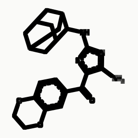 Nc1nc(NC2C3CC4CC(C3)CC2C4)sc1C(=O)c1ccc2c(c1)OCCO2